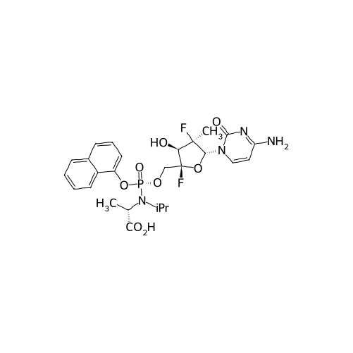 CC(C)N([C@@H](C)C(=O)O)[P@@](=O)(OC[C@@]1(F)O[C@@H](n2ccc(N)nc2=O)[C@](C)(F)[C@@H]1O)Oc1cccc2ccccc12